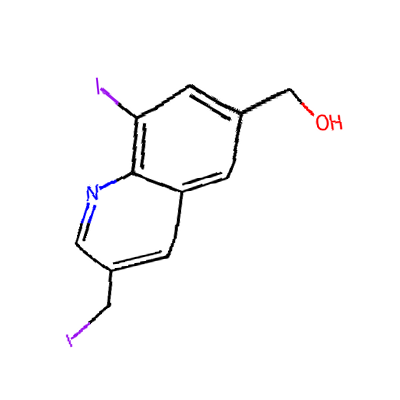 OCc1cc(I)c2ncc(CI)cc2c1